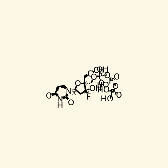 C=C=C[C@]1(COP(=O)(O)OP(=O)(O)OP(=O)(O)O)O[C@@H](n2ccc(=O)[nH]c2=O)C[C@@]1(O)F